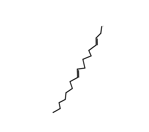 [CH2]CC=CCCCCC=CCCCCCCC